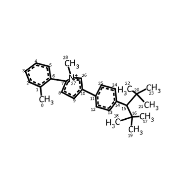 Cc1ccccc1-c1ccc(-c2ccc(C(C(C)(C)C)C(C)(C)C)cc2)c[n+]1C